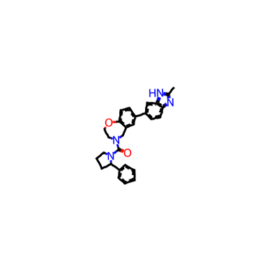 Cc1nc2ccc(-c3ccc4c(c3)CN(C(=O)N3CCCC3c3ccccc3)CCO4)cc2[nH]1